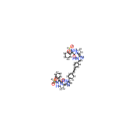 CS(=O)(=O)N[C@@H](C(=O)N1CCC[C@H]1c1ncc(-c2ccc(C#Cc3ccc(-c4cnc([C@@H]5CCCN5C(=O)[C@H](NS(C)(=O)=O)c5ccccc5)[nH]4)cc3)cc2)[nH]1)c1ccccc1